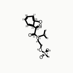 CC(C)N(CCOS(C)(=O)=O)C(=O)c1noc2ccccc12